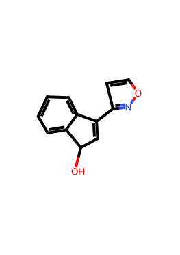 OC1C=C(c2ccon2)c2ccccc21